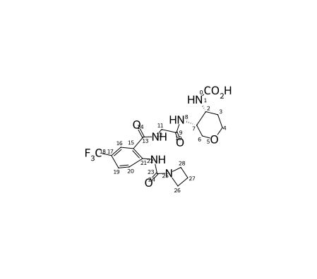 O=C(O)N[C@@H]1CCOC[C@@H]1NC(=O)CNC(=O)c1cc(C(F)(F)F)ccc1NC(=O)N1CCC1